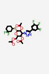 CC(=O)OCC1O[C@H](SC2CCCC(F)(F)C2)C(OC(C)=O)C(n2cc(-c3cc(F)c(F)c(F)c3)nn2)[C@H]1OC(C)=O